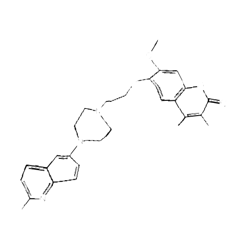 COc1cc2oc(=O)c(C)c(C)c2cc1OCCN1CCN(c2ccc3nc(C)ccc3c2)CC1